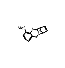 CSc1cccc2c1N=C1C3C=CC(C3)N1C2